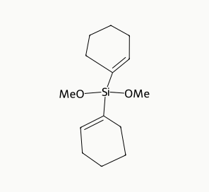 CO[Si](OC)(C1=CCCCC1)C1=CCCCC1